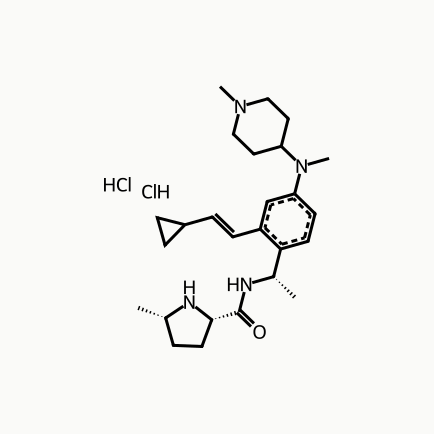 C[C@H](NC(=O)[C@@H]1CC[C@H](C)N1)c1ccc(N(C)C2CCN(C)CC2)cc1/C=C/C1CC1.Cl.Cl